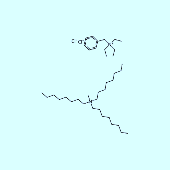 CCCCCCCC[N+](C)(CCCCCCCC)CCCCCCCC.CC[N+](CC)(CC)Cc1ccccc1.[Cl-].[Cl-]